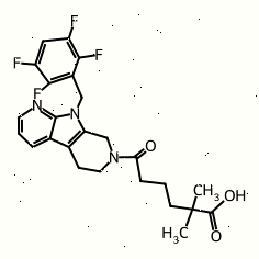 CC(C)(CCCC(=O)N1CCc2c(n(Cc3c(F)c(F)cc(F)c3F)c3ncccc23)C1)C(=O)O